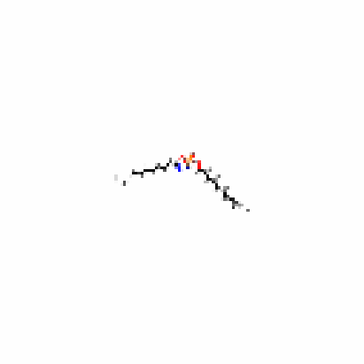 CCCCCCCCCOP(N)(=O)OCCCCCCCCC